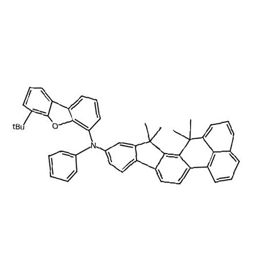 CC(C)(C)c1cccc2c1oc1c(N(c3ccccc3)c3ccc4c(c3)C(C)(C)c3c-4ccc4c3C(C)(C)c3cccc5cccc-4c35)cccc12